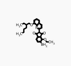 Bc1ccc2c(c1OCC)C(=O)C(c1ccc3cccc(OCC(CC)CCCC)c3n1)C2=O